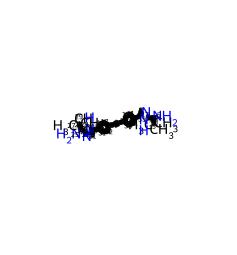 CC(C)(C)[C@H](N)c1ncc(-c2ccc(C#Cc3ccc(-c4cnc([C@@H](N)C(C)(C)C)[nH]4)cc3)cc2)[nH]1